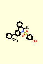 CCC1c2ccccc2-c2cc(-c3ccccc3C)ccc2N1S(=O)(=O)c1ccc(O)cc1